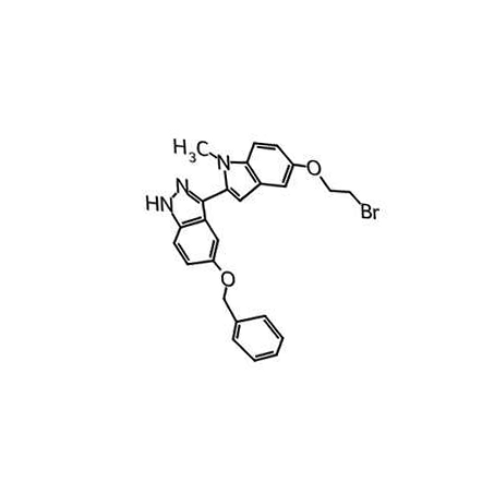 Cn1c(-c2n[nH]c3ccc(OCc4ccccc4)cc23)cc2cc(OCCBr)ccc21